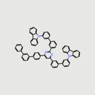 c1ccc(-c2cccc(-c3ccc(-c4cc(-c5cccc(-c6cccc(-n7c8ccccc8c8ccccc87)c6)c5)nc(-c5cccc(-c6cccc(-n7c8ccccc8c8ccccc87)c6)c5)n4)cc3)c2)cc1